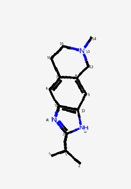 CC(C)c1nc2cc3c(cc2[nH]1)CN(C)CC3